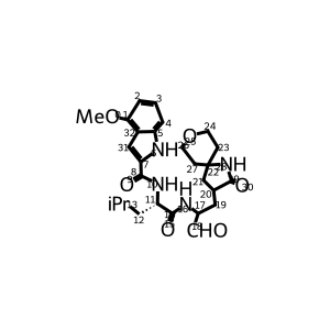 COc1cccc2[nH]c(C(=O)N[C@@H](CC(C)C)C(=O)NC(C=O)CC3CC4(CCOCC4)NC3=O)cc12